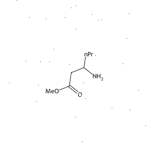 CCCC(N)CC(=O)OC